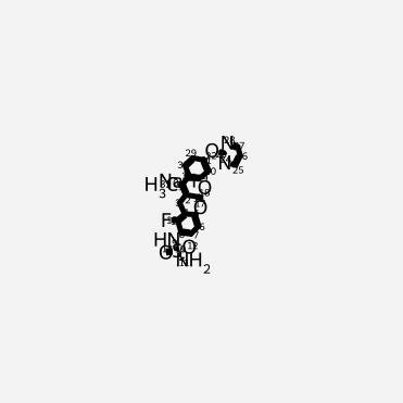 Cc1c(Cc2cccc(NS(N)(=O)=O)c2F)c(=O)oc2cc(Oc3ncccn3)ccc12.[NaH]